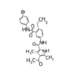 CCc1ccc(NC(=O)c2[nH]c(C)c(C(C)=O)c2C)cc1S(=O)(=O)Nc1ccc(Br)cc1